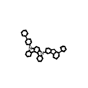 c1ccc(-c2ccc(-n3c4ccccc4c4c5c6ccccc6n(-c6ccc7c(c6)-c6cccc(-c8ccccc8)c6C7)c5ccc43)cc2)cc1